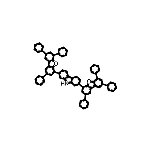 c1ccc(-c2cc(-c3ccccc3)c3oc4c(-c5ccc6c(c5)[nH]c5cc(-c7cc(-c8ccccc8)cc8c7oc7c(-c9ccccc9)cc(-c9ccccc9)cc78)ccc56)cc(-c5ccccc5)cc4c3c2)cc1